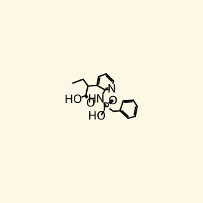 CCC(C(=O)O)c1cccnc1NP(=O)(O)Cc1ccccc1